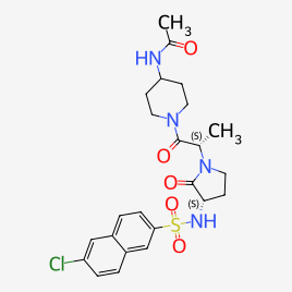 CC(=O)NC1CCN(C(=O)[C@H](C)N2CC[C@H](NS(=O)(=O)c3ccc4cc(Cl)ccc4c3)C2=O)CC1